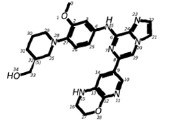 COc1cc(Nc2nc(-c3cnc4c(c3)NCCO4)cn3ccnc23)ccc1N1CCC[C@H](CO)C1